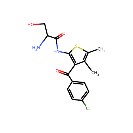 Cc1sc(NC(=O)C(N)CO)c(C(=O)c2ccc(Cl)cc2)c1C